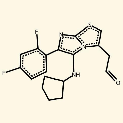 O=CCc1csc2nc(-c3ccc(F)cc3F)c(NC3CCCC3)n12